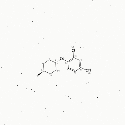 C[C@H]1CC[C@H](Oc2ccc(C#N)cc2Cl)CC1